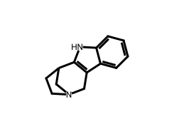 c1ccc2c3c([nH]c2c1)C1CCN(C3)C1